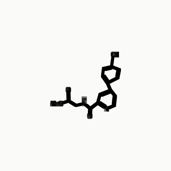 COC(=O)CNC(=O)c1cc(-c2ccc(C#N)cc2)ccn1